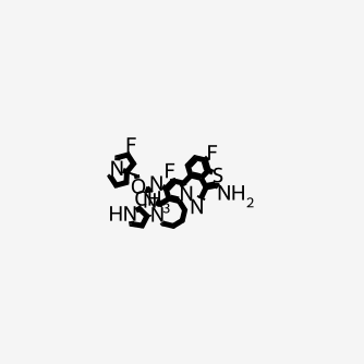 C[C@H]1NCC[C@H]1N1CCCCc2nc(-c3ccc(F)c4sc(N)c(C#N)c34)c(F)c3nc(OC[C@@]45CCCN4C[C@H](F)C5)nc1c23